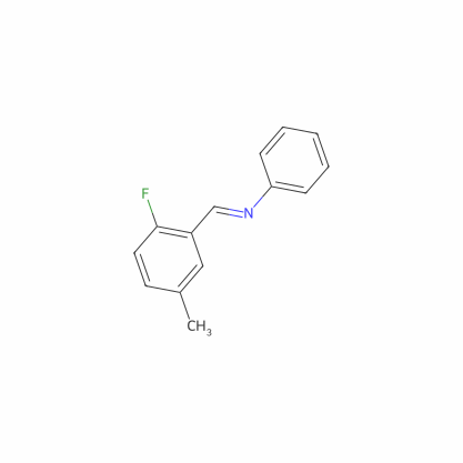 Cc1ccc(F)c(C=Nc2ccccc2)c1